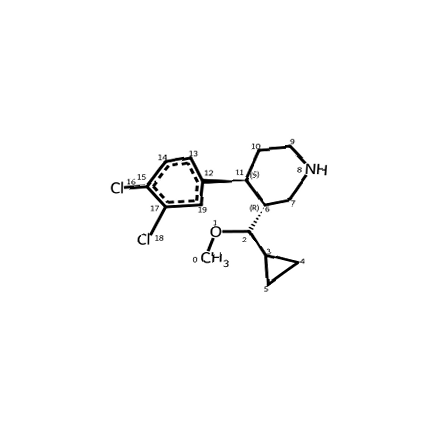 COC(C1CC1)[C@H]1CNCC[C@@H]1c1ccc(Cl)c(Cl)c1